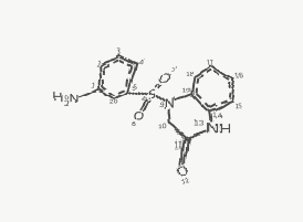 Nc1cccc(S(=O)(=O)N2CC(=O)Nc3ccccc32)c1